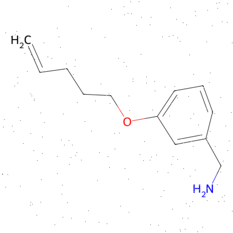 C=CCCCOc1cccc(CN)c1